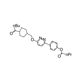 CCCCC(=O)C1CCC(COc2ccc(-c3ccc(OC(=O)CCC)cc3)nn2)CC1